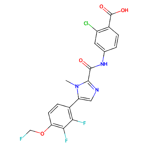 Cn1c(-c2ccc(OCF)c(F)c2F)cnc1C(=O)Nc1ccc(C(=O)O)c(Cl)c1